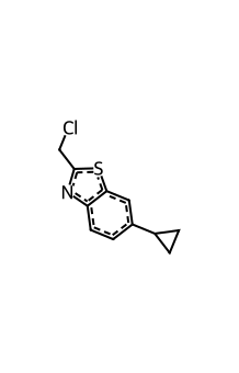 ClCc1nc2ccc(C3CC3)cc2s1